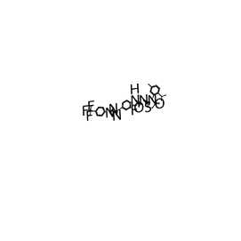 Cc1ccc(C(C)C)c(N2C(=O)CSC2=NC(=O)Nc2ccc(-c3ncn(-c4ccc(C(F)(F)F)cc4)n3)cc2F)c1